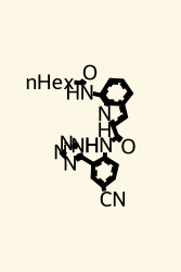 CCCCCCC(=O)Nc1cccc2cc(C(=O)Nc3ccc(C#N)cc3-c3nnn[nH]3)[nH]c12